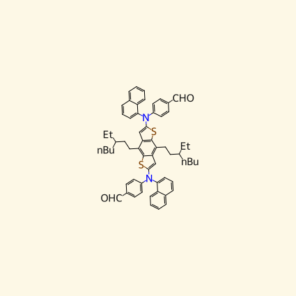 CCCCC(CC)CCc1c2cc(N(c3ccc(C=O)cc3)c3cccc4ccccc34)sc2c(CCC(CC)CCCC)c2cc(N(c3ccc(C=O)cc3)c3cccc4ccccc34)sc12